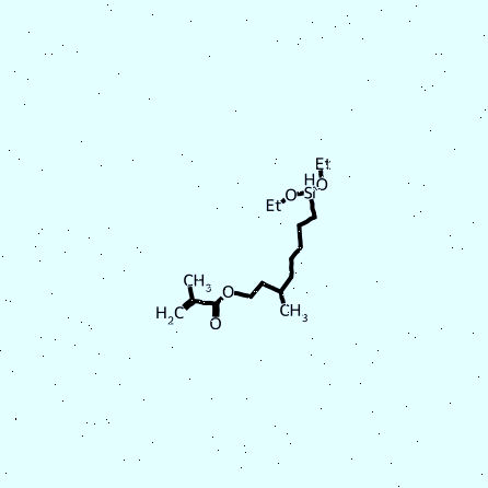 C=C(C)C(=O)OCCC(C)CCCCC[SiH](OCC)OCC